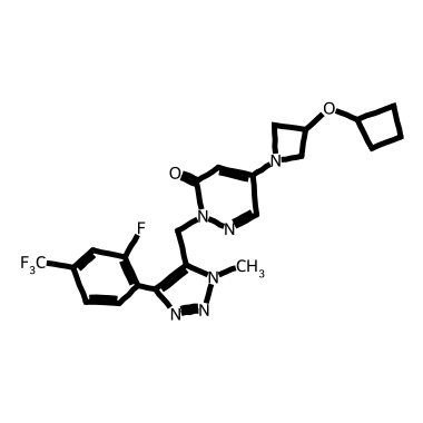 Cn1nnc(-c2ccc(C(F)(F)F)cc2F)c1Cn1ncc(N2CC(OC3CCC3)C2)cc1=O